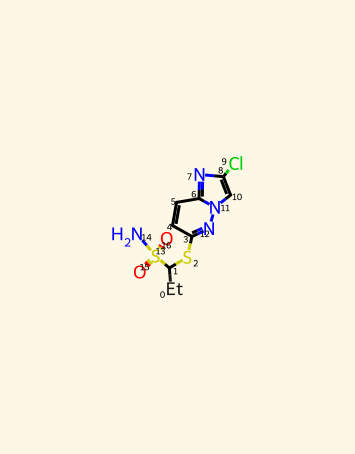 CCC(Sc1ccc2nc(Cl)cn2n1)S(N)(=O)=O